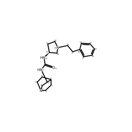 O=C(NC1CN2CCC1CC2)N[C@H]1CCN(CCc2ccccc2)C1